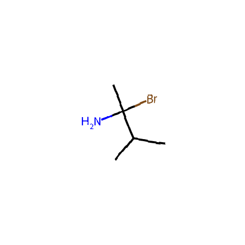 CC(C)C(C)(N)Br